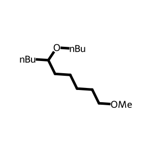 [CH2]CCCC(CCCCCOC)OCCCC